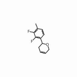 Cc1ccc(C2CC=CCO2)c(F)c1F